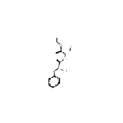 CC(C)C[C@H](NC(=O)[C@@H](N)Cc1ccccc1)C(=O)NCC(=O)O